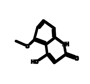 COc1cccc2[nH]c(=O)cc(O)c12